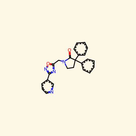 O=C1N(Cc2nc(-c3cccnc3)no2)CCC1(c1ccccc1)c1ccccc1